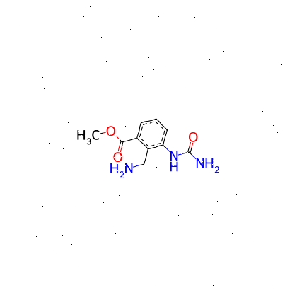 COC(=O)c1cccc(NC(N)=O)c1CN